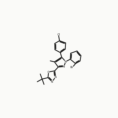 Cc1c(-c2nnc(C(C)(C)C)o2)nn(-c2ccccc2Br)c1-c1ccc(Cl)cc1